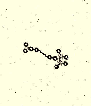 C1=CCCC(N(C2=CCCC=C2)C2=CCC(c3ccc(CCCCCCc4ccc(-c5ccc(N(c6nc(-c7ccccc7)nc(-c7ccccc7)n6)c6nc(-c7ccccc7)nc(-c7ccccc7)n6)cc5)cc4)cc3)C=C2)=C1